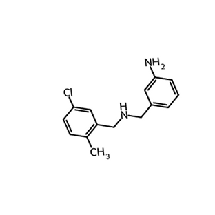 Cc1ccc(Cl)cc1CNCc1cccc(N)c1